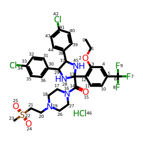 CCOc1cc(C(F)(F)F)ccc1C1(C(=O)N2CCN(CCS(C)(=O)=O)CC2)NC(c2ccc(Cl)cc2)C(c2ccc(Cl)cc2)N1.Cl